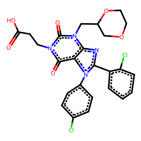 O=C(O)CCn1c(=O)c2c(nc(-c3ccccc3Cl)n2-c2ccc(Cl)cc2)n(CC2COCCO2)c1=O